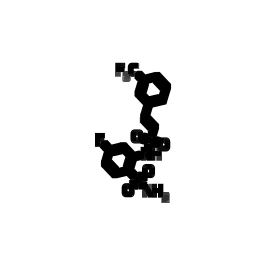 NS(=O)(=O)c1ccc(F)cc1NS(=O)(=O)C=Cc1cccc(C(F)(F)F)c1